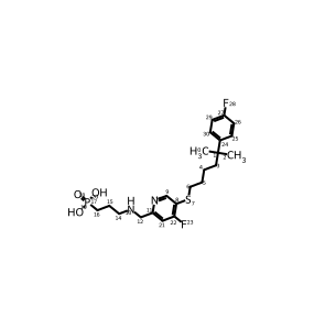 CC(C)(CCCCSc1cnc(CNCCCP(=O)(O)O)cc1F)c1ccc(F)cc1